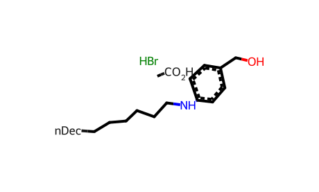 Br.CC(=O)O.CCCCCCCCCCCCCCCCNc1ccc(CO)cc1